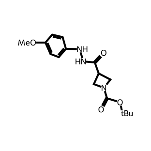 COc1ccc(NNC(=O)C2CN(C(=O)OC(C)(C)C)C2)cc1